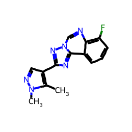 Cc1c(-c2nc3c4cccc(F)c4ncn3n2)cnn1C